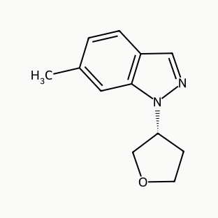 Cc1ccc2cnn([C@@H]3CCOC3)c2c1